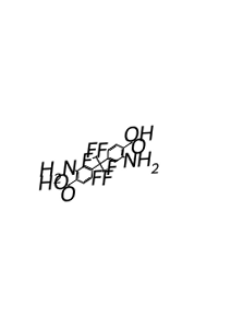 Nc1cc(C(c2ccc(C(=O)O)c(N)c2)(C(F)(F)F)C(F)(F)F)ccc1C(=O)O